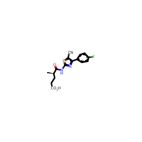 C[C@H](CCC(=O)O)C(=O)Nc1nc(-c2ccc(F)cc2)c(C#N)s1